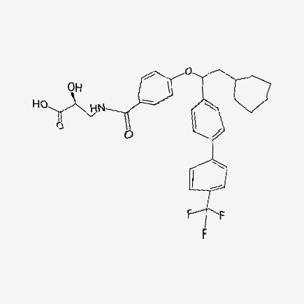 O=C(NC[C@H](O)C(=O)O)c1ccc(OC(CC2CCCCC2)c2ccc(-c3ccc(C(F)(F)F)cc3)cc2)cc1